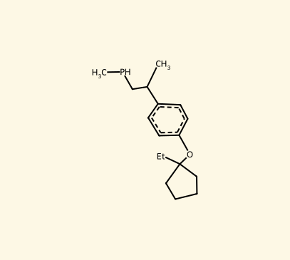 CCC1(Oc2ccc(C(C)CPC)cc2)CCCC1